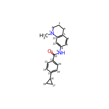 CN1CCCc2ccc(NC(=O)c3ccc(C4CC4)cc3)cc21